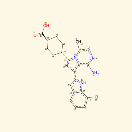 Cc1cnc(N)c2c(-c3cc4cccc(Cl)c4[nH]3)nc([C@H]3CC[C@H](C(=O)O)CC3)n12